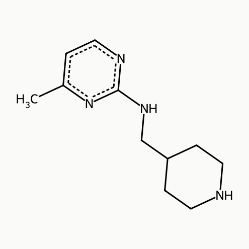 Cc1ccnc(NCC2CCNCC2)n1